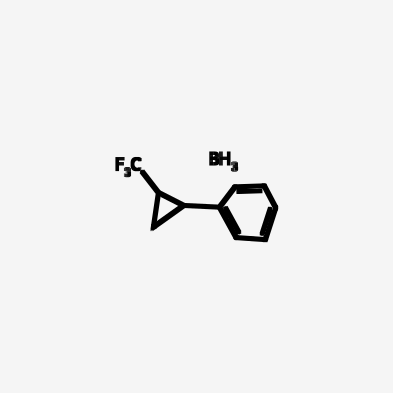 B.FC(F)(F)C1CC1c1ccccc1